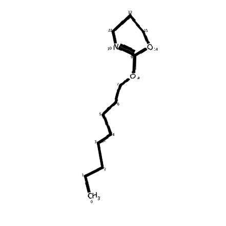 CCCCCCCCOC1=NCCCO1